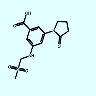 CS(=O)(=O)CNc1cc(C(=O)O)cc(N2CCCC2=O)c1